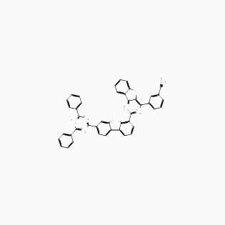 N#Cc1cccc(-c2nc(-c3cccc4c3oc3cc(-c5nc(-c6ccccc6)nc(-c6ccccc6)n5)ccc34)nc3c2sc2ccccc23)c1